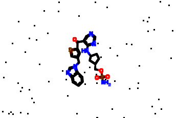 NS(=O)(=O)OC[C@@H]1CC[C@H](Nc2ncncc2C(=O)c2cc(Cn3cnc4ccccc43)cs2)C1